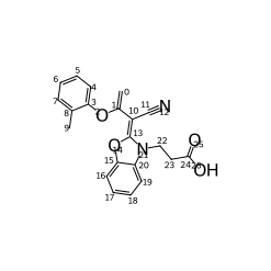 C=C(Oc1ccccc1C)/C(C#N)=C1\Oc2ccccc2N1CCC(=O)O